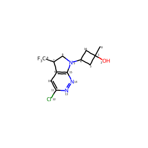 CC1(O)CC(N2CC(C(F)(F)F)c3cc(Cl)nnc32)C1